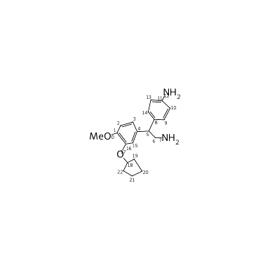 COc1ccc(C(CN)c2ccc(N)cc2)cc1OC1CCCC1